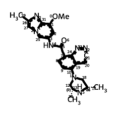 COc1cc(NC(=O)c2ccc(N3C[C@@H](C)N[C@@H](C)C3)c3ccnnc23)cn2cc(C)nc12